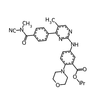 Cc1cnc(Nc2ccc(N3CCOCC3)c(C(=O)OC(C)C)c2)nc1-c1ccc(C(=O)N(C)C#N)cc1